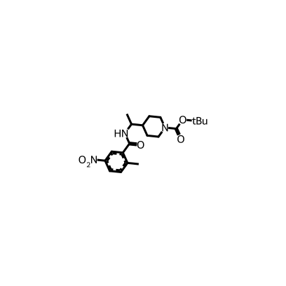 Cc1ccc([N+](=O)[O-])cc1C(=O)NC(C)C1CCN(C(=O)OC(C)(C)C)CC1